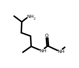 CNC(=O)NC(C)CCC(C)N